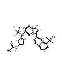 CC(C)(O)c1cccc2ccc(-c3nnc4ccc([C@@H](N5CCC(NC(=O)O)C5)C(F)(F)F)cn34)nc12